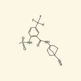 CS(=O)(=O)Nc1ccc(C(F)(F)F)cc1C(=O)NC12CCC(C#N)(CC1)CC2